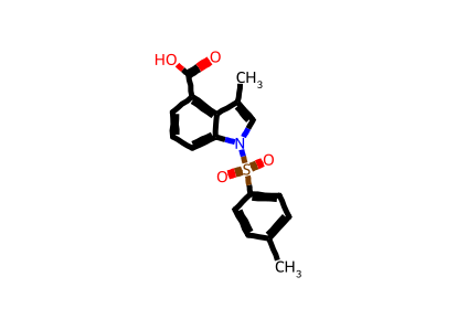 Cc1ccc(S(=O)(=O)n2cc(C)c3c(C(=O)O)cccc32)cc1